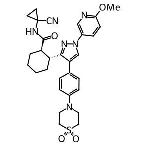 COc1ccc(-n2cc(-c3ccc(N4CCS(=O)(=O)CC4)cc3)c([C@@H]3CCCC[C@H]3C(=O)NC3(C#N)CC3)n2)cn1